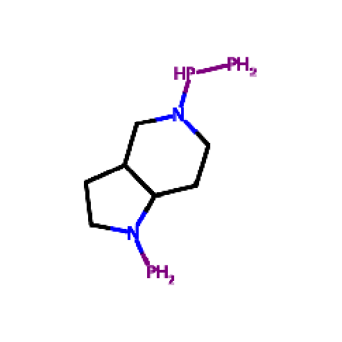 PPN1CCC2C(CCN2P)C1